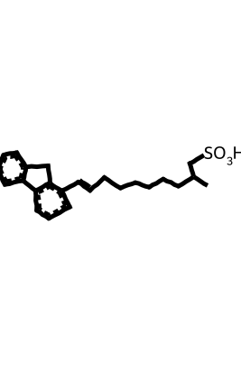 CC(CCCCCCC=Cc1cccc2c1Cc1ccccc1-2)CS(=O)(=O)O